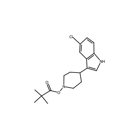 CC(C)(C)C(=O)ON1CCC(c2c[nH]c3ccc(Cl)cc23)CC1